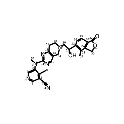 Cc1c(C#N)cncc1N(C)c1ncc2c(n1)CCN(CC(O)c1ccc3c(c1C)COC3=O)C2